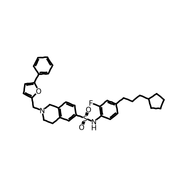 O=S(=O)(Nc1ccc(CCCC2CCCC2)cc1F)c1ccc2c(c1)CCN(Cc1ccc(-c3ccccc3)o1)C2